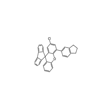 Clc1cc(-c2ccc3c(c2)CCC3)c2c(c1)C1(c3ccccc3O2)c2ccccc2-c2ccccc21